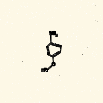 CCCOc1ccc([N+](=O)[O-])cc1